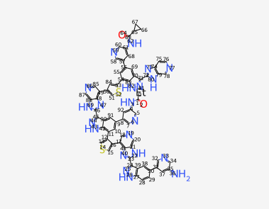 CCC(=O)Nc1cncc(-c2cc(-c3cscc3-c3cncc4[nH]c(-c5n[nH]c6ccc(-c7cncc(N)c7)cc56)nc34)c3[nH]nc(-c4nc5c(-c6csc(-c7cc(-c8cncc(NC(=O)C9CC9)c8)cc8c(-c9nc%10ccncc%10[nH]9)n[nH]c78)c6)cncc5[nH]4)c3c2)c1